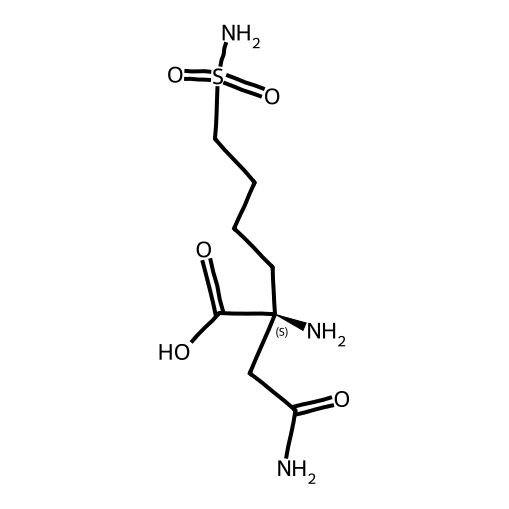 NC(=O)C[C@@](N)(CCCCS(N)(=O)=O)C(=O)O